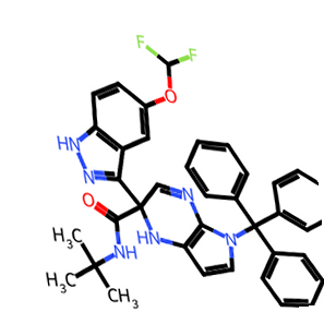 CC(C)(C)NC(=O)C1(c2n[nH]c3ccc(OC(F)F)cc23)C=Nc2c(ccn2C(c2ccccc2)(c2ccccc2)c2ccccc2)N1